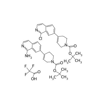 CC(C)(C)OC(=O)N1CC=C(c2ccc3ccnc(Cl)c3c2)CC1.CC(C)(C)OC(=O)N1CC=C(c2ccc3ccnc(N)c3c2)CC1.O=C(O)C(F)(F)F